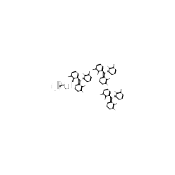 Cc1cccc(P(c2cccc(C)c2C)c2cccc(C)c2C)c1C.Cc1cccc(P(c2cccc(C)c2C)c2cccc(C)c2C)c1C.Cc1cccc(P(c2cccc(C)c2C)c2cccc(C)c2C)c1C.[Cl][Ru][Cl]